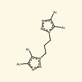 CC(=O)c1nnn(CCCn2nnc(C(C)=O)c2C(C)=O)c1C(C)=O